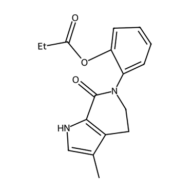 CCC(=O)Oc1ccccc1N1CCc2c(C)c[nH]c2C1=O